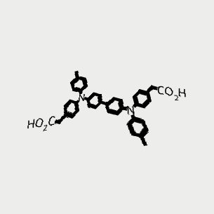 Cc1ccc(N(c2ccc(CC(=O)O)cc2)c2ccc(-c3ccc(N(c4ccc(C)cc4)c4ccc(CC(=O)O)cc4)cc3)cc2)cc1